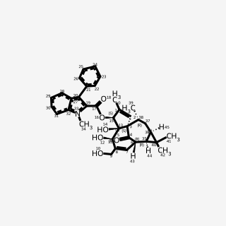 CC1=C[C@]23C(=O)[C@@H](C=C(CO)[C@@H](O)[C@]2(O)[C@H]1OC(=O)c1c(-c2ccccc2)c2ccccc2n1C)[C@H]1[C@@H](C[C@H]3C)C1(C)C